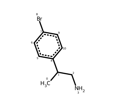 CC(CN)c1ccc(Br)cc1